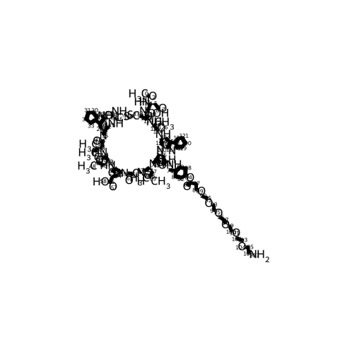 CC(=O)N[C@@H](CC(=O)O)C(=O)N[C@H]1CSSC[C@@H](C(N)=O)NC(=O)[C@H](Cc2c[nH]c3ccccc23)NC(=O)[C@H](C(C)C)NC(=O)[C@H](CC(C)C)NC(=O)[C@H](CCC(=O)O)NC(=O)CNC(=O)[C@H](CC(C)C)NC(=O)[C@H](CC(=O)NCc2ccc(OC(=O)CCOCCOCCOCCOCCOCCOCCN)cc2)NC(=O)[C@H](Cc2c[nH]c3ccccc23)NC(=O)[C@H](C)NC1=O